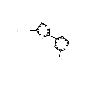 Cc1cc(-c2nc(C(=O)O)co2)ccn1